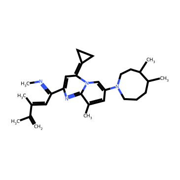 C=C(C)/C(C)=C/C(=N\C)C1=CC(=C2CC2)N2C=C(N3CCCC(C)C(C)CC3)C=C(C)C2=N1